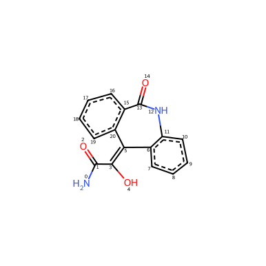 NC(=O)/C(O)=C1/c2ccccc2NC(=O)c2ccccc21